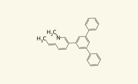 C=N\C=C(/C=C\C=C\C)c1cc(-c2ccccc2)cc(-c2ccccc2)c1